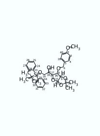 COc1ccc(CO[C@H]2[C@H]3OC(C)(C)O[C@H]3O[C@@H]2[C@H](O)CO[Si](c2ccccc2)(c2ccccc2)C(C)(C)C)cc1